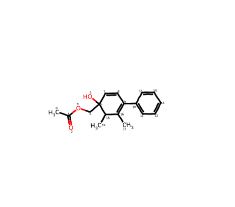 CC(=O)OCC1(O)C=CC(c2ccccc2)=C(C)C1C